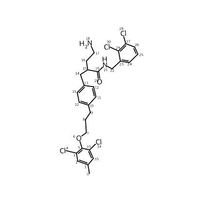 Cc1cc(Cl)c(OCCCc2ccc(CC(CCN)C(=O)NCc3cccc(Cl)c3Cl)cc2)c(Cl)c1